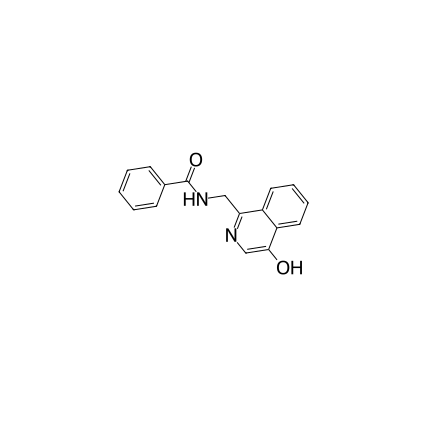 O=C(NCc1ncc(O)c2ccccc12)c1ccccc1